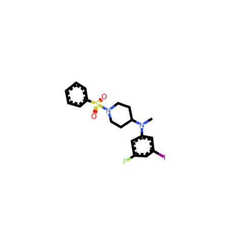 CN(c1cc(F)cc(I)c1)C1CCN(S(=O)(=O)c2ccccc2)CC1